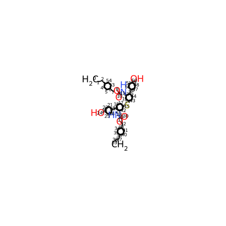 C=CCc1ccc(COC(=O)Nc2cc(Sc3ccc(-c4ccc(O)cc4)c(NC(=O)OCc4ccc(CC=C)cc4)c3)ccc2-c2ccc(O)cc2)cc1